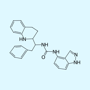 O=C(Nc1cccc2[nH]ncc12)NC(Cc1ccccc1)C1CCc2ccccc2N1